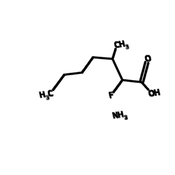 CCCCC(C)C(F)C(=O)O.N